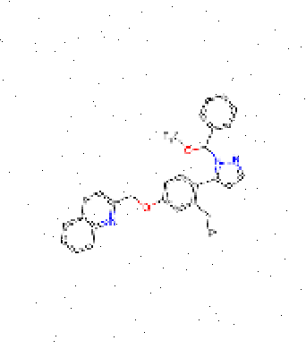 CC(C)Cc1cc(OCc2ccc3ccccc3n2)ccc1-c1ccnn1C(OC(F)(F)F)c1ccccc1